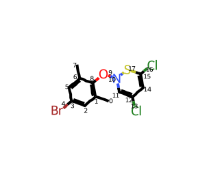 Cc1cc(Br)cc(C)c1ON1C=C(Cl)C=C(Cl)S1